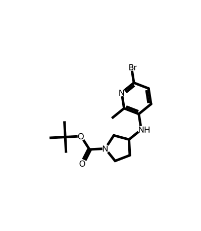 Cc1nc(Br)ccc1NC1CCN(C(=O)OC(C)(C)C)C1